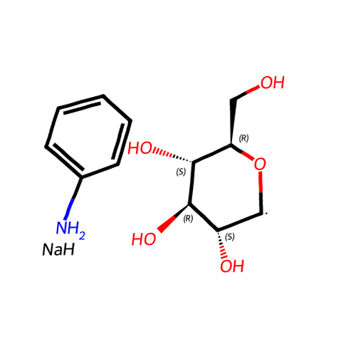 Nc1ccccc1.OC[C@H]1O[CH][C@H](O)[C@@H](O)[C@@H]1O.[NaH]